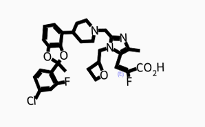 Cc1nc(CN2CCC(c3cccc4c3OC(C)(c3ccc(Cl)cc3F)O4)CC2)n(CC2CCO2)c1/C=C(/F)C(=O)O